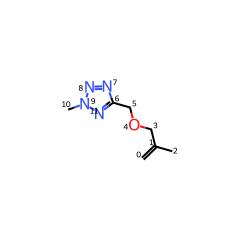 C=C(C)COCc1nnn(C)n1